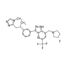 CC(Cc1nncn1C)c1cccc(-c2n[nH]c3c(CN4CC[C@H](F)C4)cc(C(F)(F)F)nc23)c1